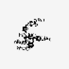 CCCCOc1nc(NCc2ccc(CN3CCN(C(=O)OC(C)(C)C)CC3)s2)c([N+](=O)[O-])c(N(Cc2ccc(OC)cc2)Cc2ccc(OC)cc2)n1